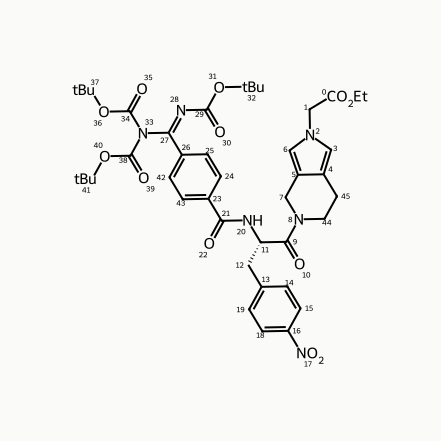 CCOC(=O)Cn1cc2c(c1)CN(C(=O)[C@H](Cc1ccc([N+](=O)[O-])cc1)NC(=O)c1ccc(C(=NC(=O)OC(C)(C)C)N(C(=O)OC(C)(C)C)C(=O)OC(C)(C)C)cc1)CC2